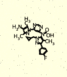 Cc1nn(-c2cc(N(C(=O)O)c3c(C)c(-c4ccc(F)cc4)nn3CC3CC3)ncn2)c(C)c1N